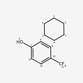 C1CCCCC1.Oc1ccc(C(F)(F)F)cc1